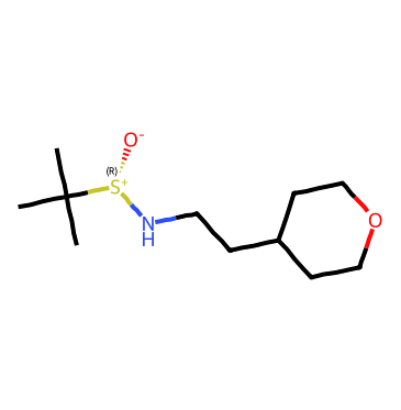 CC(C)(C)[S@+]([O-])NCCC1CCOCC1